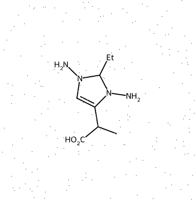 CCC1N(N)C=C(C(C)C(=O)O)N1N